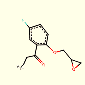 CCC(=O)c1cc(F)ccc1OCC1CO1